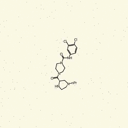 CCCN1CCN[C@@H](C(=O)N2CCN(C(=O)Nc3ccc(Cl)c(Cl)c3)CC2)C1